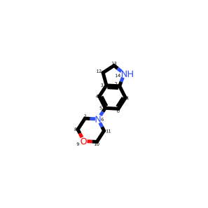 c1cc2c(cc1N1CCOCC1)CCN2